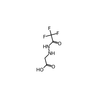 O=C(O)CNNC(=O)C(F)(F)F